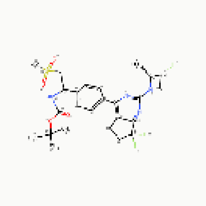 C[C@H]1[C@H](F)CN1c1nc(-c2ccc(C(CS(C)(=O)=O)NC(=O)OC(C)(C)C)cc2)c2c(n1)C(F)(F)CC2